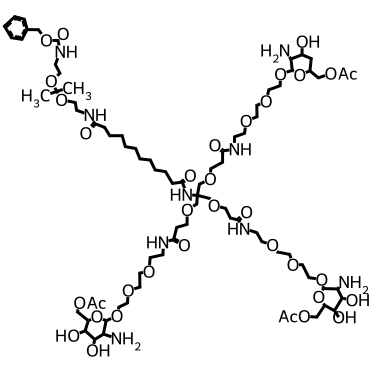 CC(=O)OCC1CC(O)C(N)C(OCCOCCOCCNC(=O)CCOCC(COCCC(=O)NCCOCCOCCOC2OC(COC(C)=O)C(O)C(O)C2N)(COCCC(=O)NCCOCCOCCOC2OC(COC(C)=O)C(O)C(O)C2N)NC(=O)CCCCCCCCCCC(=O)NCCOC(C)(C)OCCNC(=O)OCc2ccccc2)O1